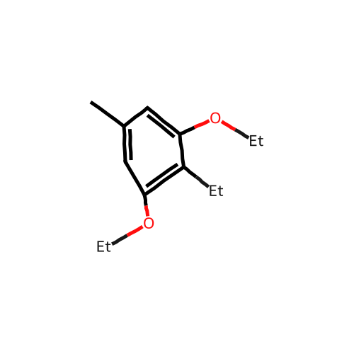 CCOc1cc(C)cc(OCC)c1CC